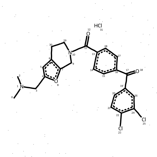 CN(C)Cc1cc2c(o1)CN(C(=O)c1ccc(C(=O)c3ccc(Cl)c(Cl)c3)cc1)CC2.Cl